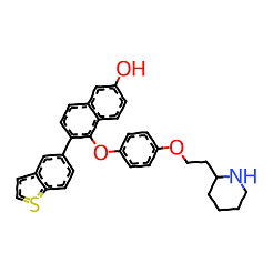 Oc1ccc2c(Oc3ccc(OCCC4CCCCN4)cc3)c(-c3ccc4sccc4c3)ccc2c1